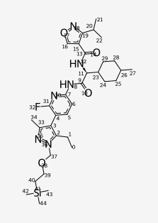 CCc1c(-c2ccc(NC(=O)[C@@H](NC(=O)c3conc3C(C)C)C3CCC(C)CC3)nc2F)c(C)nn1COCC[Si](C)(C)C